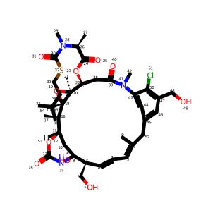 C/C1=C\C=C\[C@@H](CO)[C@@]2(O)C[C@H](OC(=O)N2)[C@@H](C)[C@@H]2O[C@@]2(C)[C@@H](OC(=O)[C@H](C)N(C)C(=O)SCCC(C)C)CC(=O)N(C)c2cc(cc(CO)c2Cl)C1